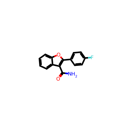 NC(=O)c1c(-c2ccc(F)cc2)oc2ccccc12